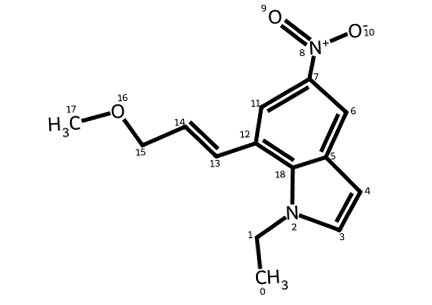 CCn1ccc2cc([N+](=O)[O-])cc(/C=C/COC)c21